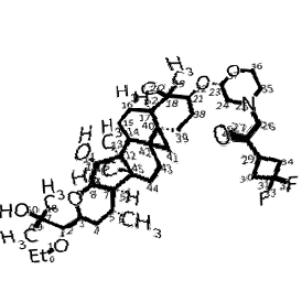 CCO[C@@H](C1C[C@@H](C)[C@H]2C(O1)[C@H](O)[C@@]1(C)C3CC[C@H]4C(C)(C)[C@@H](O[C@H]5CN(CC(=O)C6CC(F)(F)C6)CCO5)CC[C@@]45CC35CC[C@]21C)C(C)(C)O